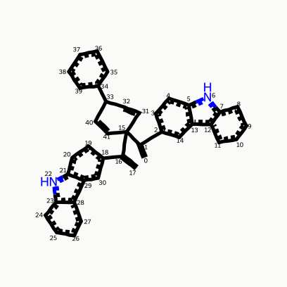 C=C(c1ccc2[nH]c3ccccc3c2c1)C1(C(=C)c2ccc3[nH]c4ccccc4c3c2)C=CC(c2ccccc2)C=C1